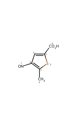 Cc1sc(C(=O)O)cc1N=O